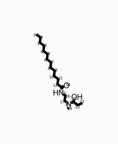 CCCCCCCCCCCCCC(=O)NCCN(C)C(O)CC